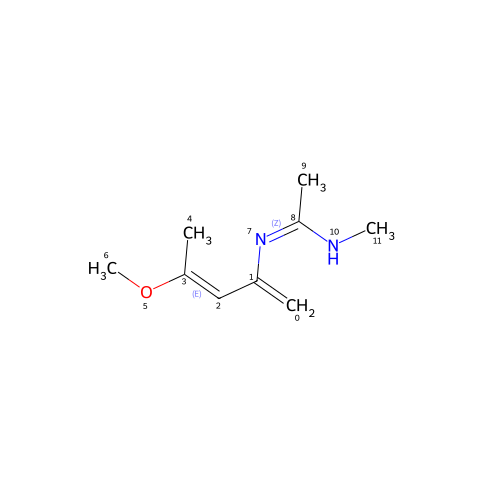 C=C(/C=C(\C)OC)/N=C(/C)NC